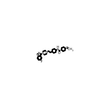 CO[C@H]1CC[C@H](C(=O)NC2CCC(CCN3CCN(c4noc5ccc(F)cc45)CC3)CC2)CC1